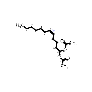 CCCCCC/C=C\CCCC(OC(C)=O)OC(C)=O